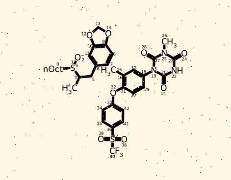 CCCCCCCC[S+]([O-])C(C)Cc1ccc2c(c1)OCO2.Cc1cc(-n2c(=O)[nH]c(=O)n(C)c2=O)ccc1Oc1ccc(S(=O)(=O)C(F)(F)F)cc1